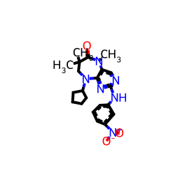 CN1C(=O)C(C)(C)CN(C2CCCC2)c2nc(Nc3cccc([N+](=O)[O-])c3)ncc21